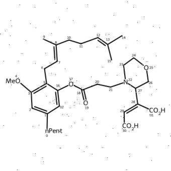 CCCCCc1cc(OC)c(C/C=C(\C)CCC=C(C)C)c(OC(=O)CCN2CCOCC2/C(=C/C(=O)O)C(=O)O)c1